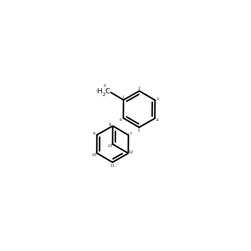 [CH2]c1ccccc1.[CH]1c2cccc1c2